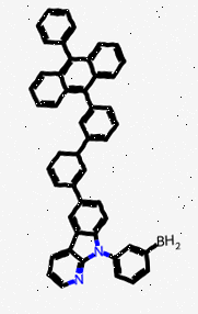 Bc1cccc(-n2c3ccc(C4=CC(c5cccc(-c6c7ccccc7c(-c7ccccc7)c7ccccc67)c5)CC=C4)cc3c3cccnc32)c1